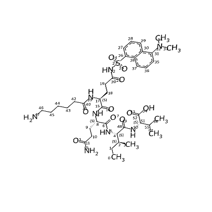 CC[C@H](C)[C@H](NC(=O)[C@H](CCC(N)=O)NC(=O)[C@H](CCC(=O)NS(=O)(=O)c1cccc2c(N(C)C)cccc12)NC(=O)CCCCCN)C(=O)N[C@H](C(=O)O)C(C)C